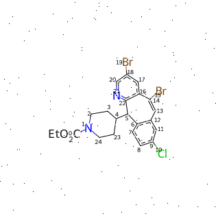 CCOC(=O)N1CCC(C2c3ccc(Cl)cc3C=C(Br)c3cc(Br)cnc32)CC1